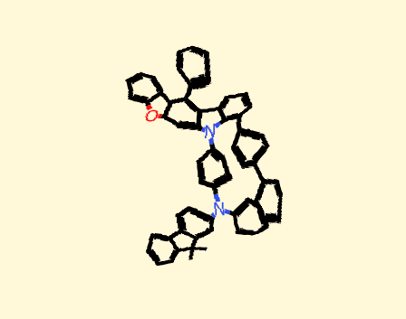 CC1(C)c2ccccc2-c2ccc(N(c3ccccc3)c3ccc(-n4c5c(c6cccc(-c7ccc(-c8ccccc8)cc7)c64)=C(c4ccccc4)C4c6ccccc6OC4C=5)cc3)cc21